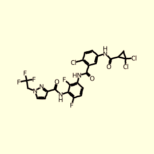 O=C(Nc1c(F)ccc(NC(=O)c2cc(NC(=O)C3CC3(Cl)Cl)ccc2Cl)c1F)c1ccn(CC(F)(F)F)n1